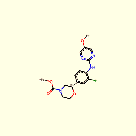 CCOc1cnc(Nc2ccc([C@H]3CN(C(=O)OC(C)(C)C)CCO3)cc2F)nc1